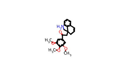 COc1cc(C(=O)CC2(CN)CC=Cc3ccccc32)cc(OC)c1OC